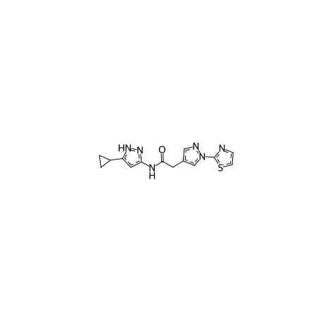 O=C(Cc1cnn(-c2nccs2)c1)Nc1cc(C2CC2)[nH]n1